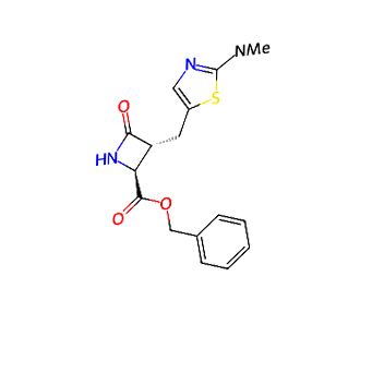 CNc1ncc(C[C@H]2C(=O)N[C@@H]2C(=O)OCc2ccccc2)s1